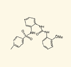 COc1ccccc1NC(=O)Nc1ccccc1NS(=O)(=O)c1ccc(C)cc1